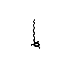 CCCCCCCCCCc1c(C)cc(C)cc1C